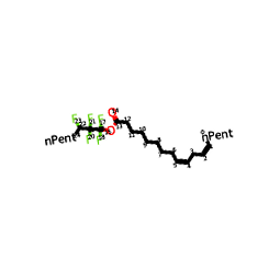 CCCCC/C=C\C/C=C\CCCCCCCC(=O)OC(F)(F)C(F)(F)C(F)CCCCC